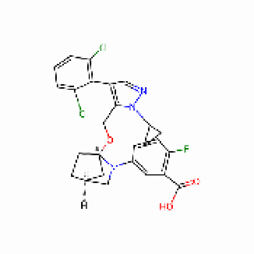 O=C(O)c1cc(N2C[C@H]3CC[C@]2(OCc2c(-c4c(Cl)cccc4Cl)cnn2C2CC2)C3)ccc1F